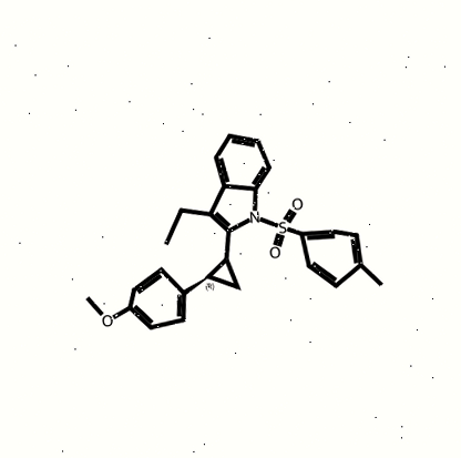 CCc1c(C2C[C@H]2c2ccc(OC)cc2)n(S(=O)(=O)c2ccc(C)cc2)c2ccccc12